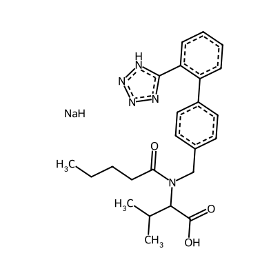 CCCCC(=O)N(Cc1ccc(-c2ccccc2-c2nnn[nH]2)cc1)C(C(=O)O)C(C)C.[NaH]